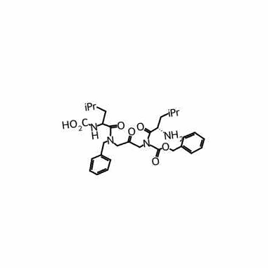 CC(C)CC(NC(=O)O)C(=O)N(CC(=O)CN(C(=O)OCc1ccccc1)C(=O)[C@@H](N)CC(C)C)Cc1ccccc1